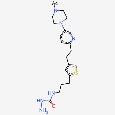 CC(=O)N1CCN(c2ccc(CCc3csc(CCCNC(=O)NN)c3)nc2)CC1